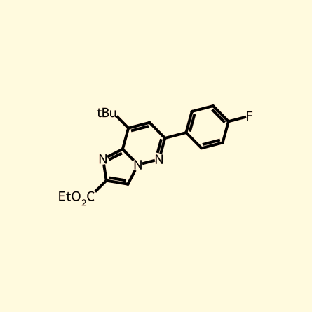 CCOC(=O)c1cn2nc(-c3ccc(F)cc3)cc(C(C)(C)C)c2n1